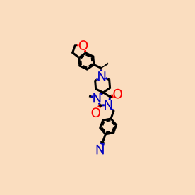 C[C@H](c1ccc2c(c1)OCC2)N1CCC2(CC1)C(=O)N(Cc1ccc(C#N)cc1)C(=O)N2C